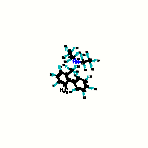 Cc1c(F)c(F)c(F)c(C(F)(F)F)c1-c1c(F)c(F)c(F)c(F)c1F.FC(F)(F)C(F)(F)NC(F)(F)C(F)(F)F